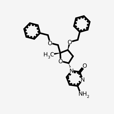 C[C@]1(COCc2ccccc2)O[C@@H](n2ccc(N)nc2=O)C[C@@H]1OCc1ccccc1